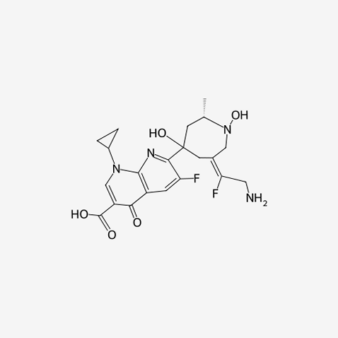 C[C@H]1CC(O)(c2nc3c(cc2F)c(=O)c(C(=O)O)cn3C2CC2)C/C(=C(\F)CN)CN1O